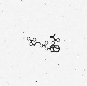 C=C(C)C(=O)OC12CC3CC(CC(OC(=O)OCC4COC(=O)O4)(C3)C1)C2